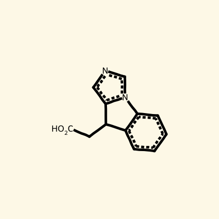 O=C(O)CC1c2ccccc2-n2cncc21